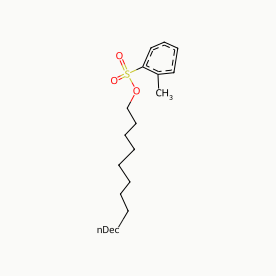 CCCCCCCCCCCCCCCCCCOS(=O)(=O)c1ccccc1C